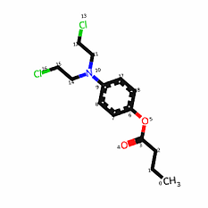 CCCC(=O)Oc1ccc(N(CCCl)CCCl)cc1